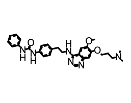 COc1cc2c(NCCc3ccc(NC(=O)Nc4ccccc4)cc3)ncnc2cc1OCCCN(C)C